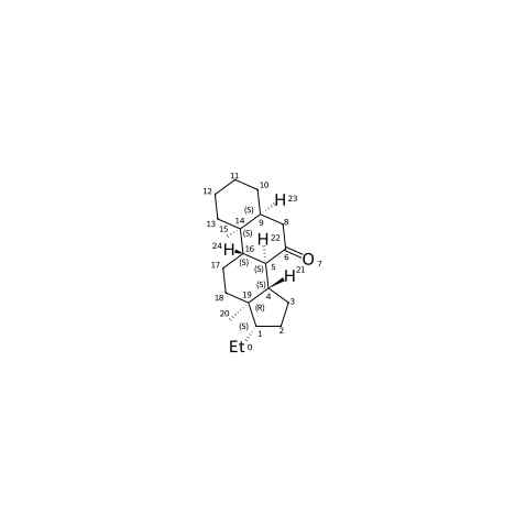 CC[C@H]1CC[C@H]2[C@@H]3C(=O)C[C@@H]4CCCC[C@]4(C)[C@H]3CC[C@]12C